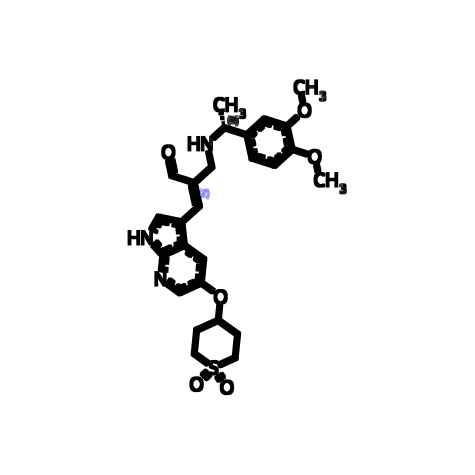 COc1ccc([C@@H](C)NC/C(C=O)=C/c2c[nH]c3ncc(OC4CCS(=O)(=O)CC4)cc23)cc1OC